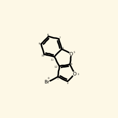 Brc1coc2oc3ccccc3c12